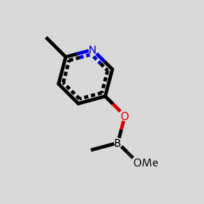 COB(C)Oc1ccc(C)nc1